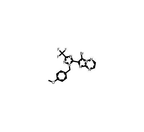 COc1ccc(Cn2nc(C(F)(F)F)nc2-c2nc3nccnn3c2Br)cc1